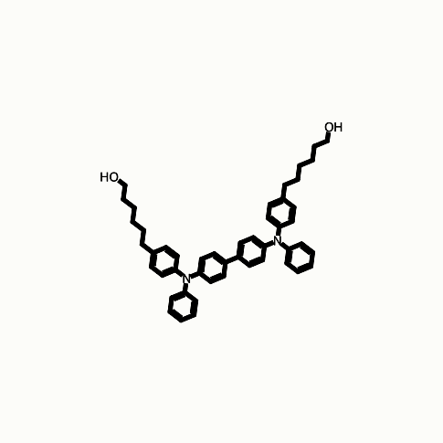 OCCCCCCc1ccc(N(c2ccccc2)c2ccc(-c3ccc(N(c4ccccc4)c4ccc(CCCCCCO)cc4)cc3)cc2)cc1